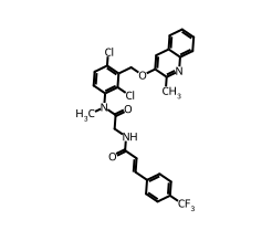 Cc1nc2ccccc2cc1OCc1c(Cl)ccc(N(C)C(=O)CNC(=O)/C=C/c2ccc(C(F)(F)F)cc2)c1Cl